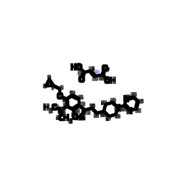 CN(C)c1c(OCC2CC2)ccc2c(CCC3CCN(c4ncccn4)CC3)noc12.O=C(O)/C=C/C(=O)O